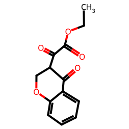 CCOC(=O)C(=O)C1COc2ccccc2C1=O